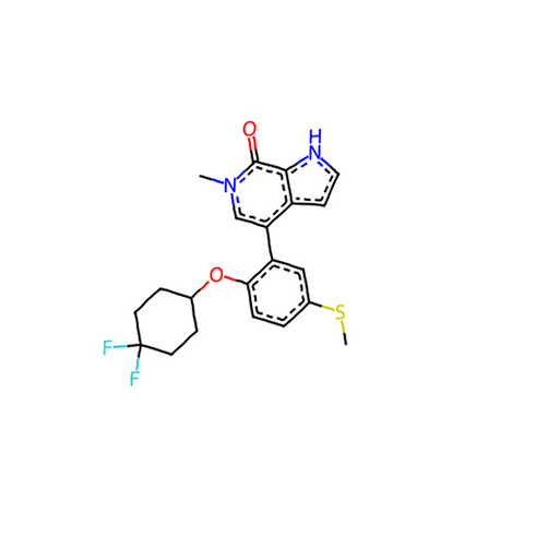 CSc1ccc(OC2CCC(F)(F)CC2)c(-c2cn(C)c(=O)c3[nH]ccc23)c1